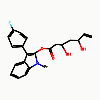 C=CC(O)CC(O)CC(=O)Oc1c(-c2ccc(F)cc2)c2ccccc2n1C(C)C